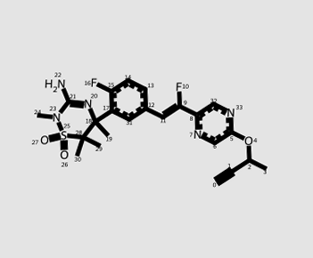 C#CC(C)Oc1cnc(/C(F)=C/c2ccc(F)c(C3(C)N=C(N)N(C)S(=O)(=O)C3(C)C)c2)cn1